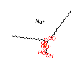 CCCCCCCCCCCCCCCCCC(=O)OC[C@H](COP(=O)([O-])OCC(O)CO)OC(=O)CCCCCCCCCCCCCCCCC.[Na+]